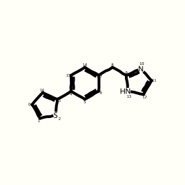 c1csc(-c2ccc(Cc3ncc[nH]3)cc2)c1